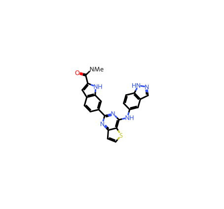 CNC(=O)c1cc2ccc(-c3nc(Nc4ccc5[nH]ncc5c4)c4sccc4n3)cc2[nH]1